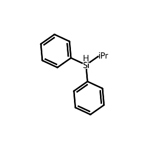 [CH2]C([CH2])[SiH](c1ccccc1)c1ccccc1